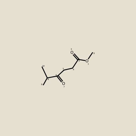 COC(=O)CCC(=O)C(C)C